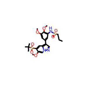 CCCS(=O)(=O)Nc1cc(-c2cnn3cc(OC)c(S(=O)(=O)C(C)(C)C)cc23)cc(OC)c1OC